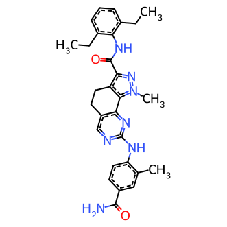 CCc1cccc(CC)c1NC(=O)c1nn(C)c2c1CCc1cnc(Nc3ccc(C(N)=O)cc3C)nc1-2